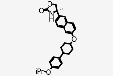 CC(C)Oc1ccc(C2CCC(Oc3ccc4cc([C@]5(C)COC(=O)N5)ccc4c3)CC2)cc1